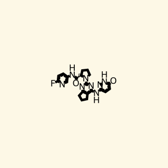 O=C(Nc1ccc(F)nc1)[C@H]1CCCN1c1nc2c(c(Nc3ccc(=O)[nH]n3)n1)CCC2